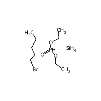 CCCCCBr.CCO[PH](=O)OCC.[SiH4]